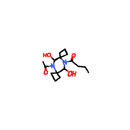 CCCC(=O)N1C(O)C2(CCC2)N(C(C)=O)C(O)C12CCC2